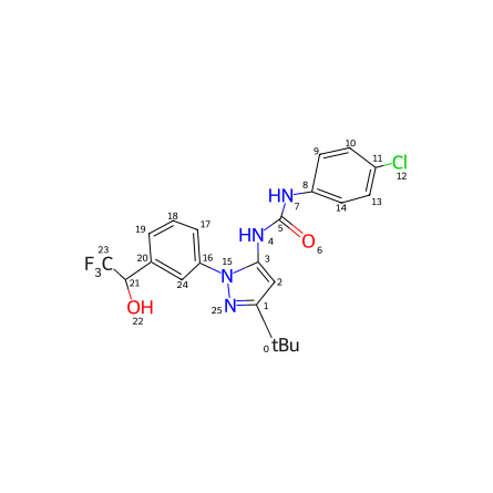 CC(C)(C)c1cc(NC(=O)Nc2ccc(Cl)cc2)n(-c2cccc(C(O)C(F)(F)F)c2)n1